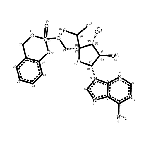 Nc1ncnc2c1ncn2[C@@H]1O[C@@](COP2(=O)OCc3ccccc3O2)(C(F)F)[C@H](O)[C@H]1O